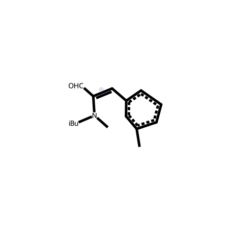 CCC(C)N(C)/C(C=O)=C\c1cccc(C)c1